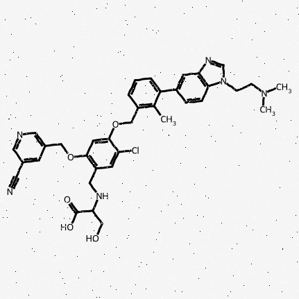 Cc1c(COc2cc(OCc3cncc(C#N)c3)c(CNC(CO)C(=O)O)cc2Cl)cccc1-c1ccc2c(c1)ncn2CCN(C)C